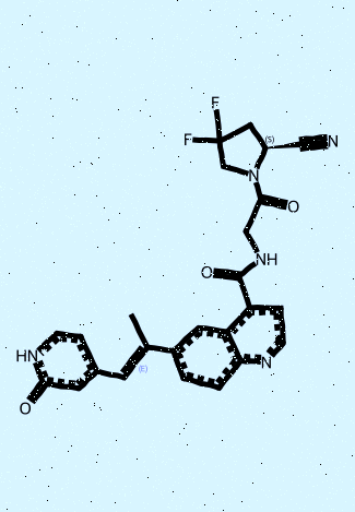 C/C(=C\c1cc[nH]c(=O)c1)c1ccc2nccc(C(=O)NCC(=O)N3CC(F)(F)C[C@H]3C#N)c2c1